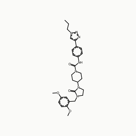 CCCn1cc(-c2ccc(NC(=O)N3CCC(N4CCN(Cc5cc(OC)ccc5OC)C4=O)CC3)cc2)nn1